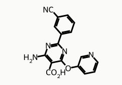 N#Cc1cccc(-c2nc(N)c(C(=O)O)c(Oc3cccnc3)n2)c1